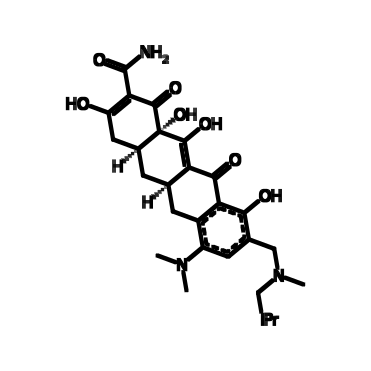 CC(C)CN(C)Cc1cc(N(C)C)c2c(c1O)C(=O)C1=C(O)[C@]3(O)C(=O)C(C(N)=O)=C(O)C[C@@H]3C[C@@H]1C2